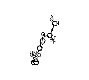 CCOc1cncc(C#Cc2cc(C(=O)N3CCN(c4ccc(C(=O)NS(=O)(=O)CC56CC7CC(CC(C7)C5)C6)cc4)CC3)cc(C(F)(F)F)c2)c1